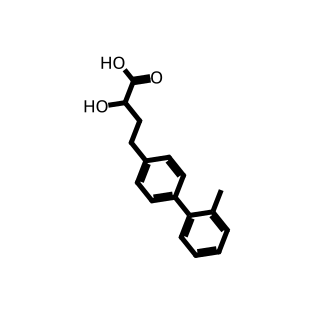 Cc1ccccc1-c1ccc(CCC(O)C(=O)O)cc1